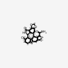 NC(=O)c1nsc2cccc(-c3cc4c(c5c3C(c3cc(F)ccc3Cl)NC5=O)OCO4)c12